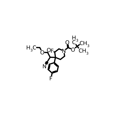 CCOC(=O)C(C#N)C1(c2ccc(F)cc2)CCN(C(=O)OC(C)(C)C)CC1F